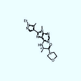 CCn1ncc(-c2nc3c(N[C@H](C)C(=O)N4CCOCC4)ncnc3n2C)c1C